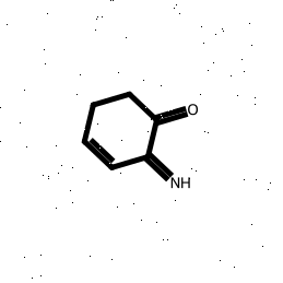 N=C1C=CCCC1=O